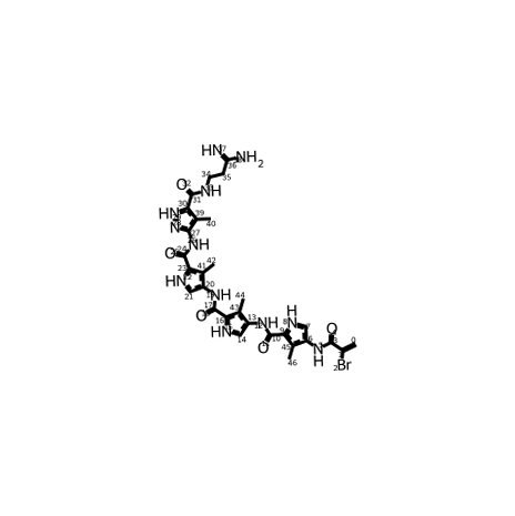 C=C(Br)C(=O)Nc1c[nH]c(C(=O)Nc2c[nH]c(C(=O)Nc3c[nH]c(C(=O)Nc4n[nH]c(C(=O)NCCC(=N)N)c4C)c3C)c2C)c1C